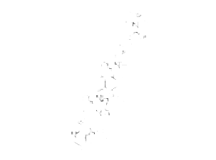 CC(C)(C)OC(=O)NC(CSSc1ncccc1[N+](=O)[O-])C(=O)NCc1cccc(C(=O)NCCCCCC(=O)N2CCSC2)c1